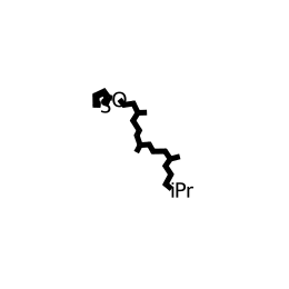 CC(C)CCCC(C)CCCC(C)CCCC(C)CCOc1cccs1